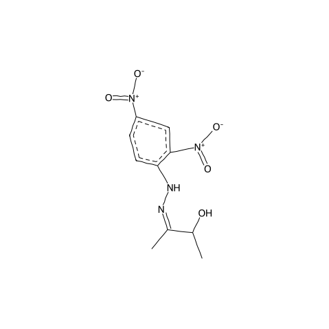 CC(=NNc1ccc([N+](=O)[O-])cc1[N+](=O)[O-])C(C)O